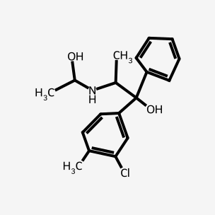 Cc1ccc(C(O)(c2ccccc2)C(C)NC(C)O)cc1Cl